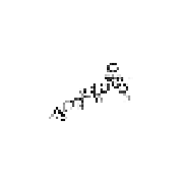 CC(C)(C)OC(=O)N1CCC(CNC(=O)CNC(=O)c2ccc(S(=O)(=O)N(Oc3ccc(Cl)cc3Cl)c3ccccc3)cc2)CC1